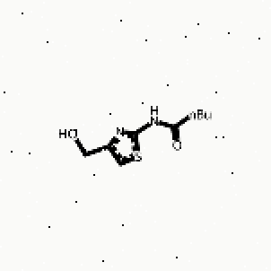 CCCCC(=O)Nc1nc(CO)cs1